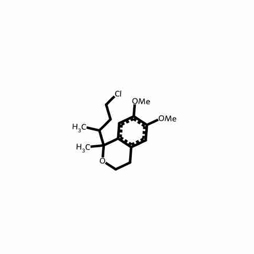 COc1cc2c(cc1OC)C(C)(C(C)CCCl)OCC2